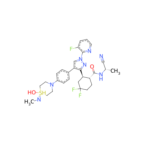 CN=[SH]1(O)CCN(c2ccc(-c3cn(-c4ncccc4F)nc3[C@@H]3CC(F)(F)CC[C@H]3C(=O)N[C@@H](C)C#N)cc2)CC1